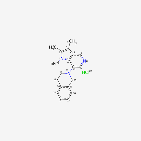 CCCn1c(C)c(C)c2cncc(N3CCc4ccccc4C3)c21.Cl